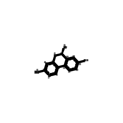 CC(C)[C@@H]1Oc2nc(O)ncc2-c2ccc(F)cc21